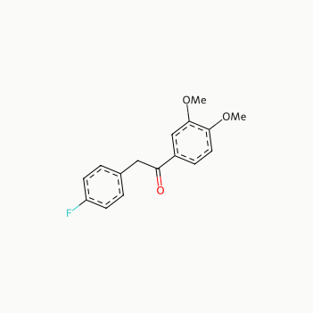 COc1ccc(C(=O)Cc2ccc(F)cc2)cc1OC